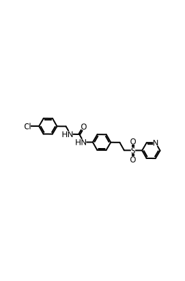 O=C(NCc1ccc(Cl)cc1)Nc1ccc(CCS(=O)(=O)c2cccnc2)cc1